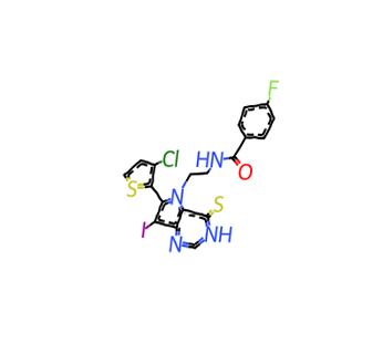 O=C(NCCn1c(-c2sccc2Cl)c(I)c2nc[nH]c(=S)c21)c1ccc(F)cc1